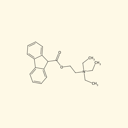 CC[N+](CC)(CC)CCOC(=O)C1c2ccccc2-c2ccccc21